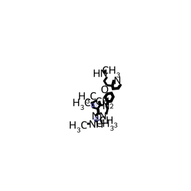 C=C1C(/C=C(/C)CC)=C(/N=C(\C)NCC)N(C)CCN1c1cccc(OC(CCNC)c2cccnc2)c1